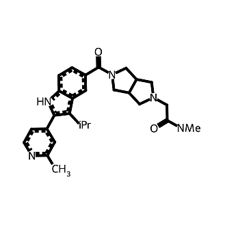 CNC(=O)CN1CC2CN(C(=O)c3ccc4[nH]c(-c5ccnc(C)c5)c(C(C)C)c4c3)CC2C1